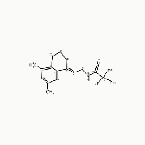 Cc1cc(C)c2c(c1)C(=CCNC(=O)C(F)(F)F)CCC2